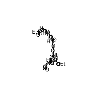 CCc1cccc(-c2cnc(C(=O)NCCOCCOCCNC(=O)c3ccc(N4CCN(Cc5cnc6cc(CC)c(=O)[nH]c6c5)CC4)cn3)c(NC(=O)CNCC3CCN(C)C(=O)C3)c2)c1